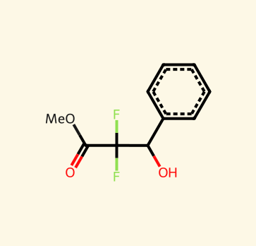 COC(=O)C(F)(F)C(O)c1ccccc1